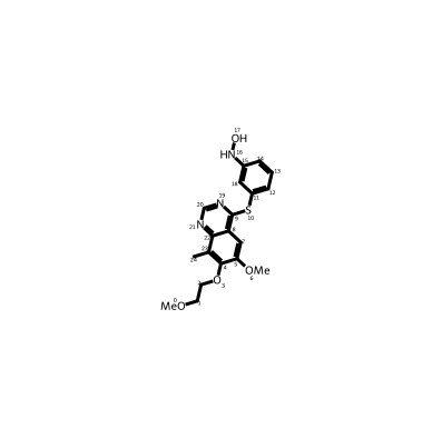 COCCOc1c(OC)cc2c(Sc3cccc(NO)c3)ncnc2c1C